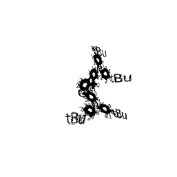 CC(C)(C)c1ccc(N(c2ccc(C(C)(C)C)cc2)c2ccc3c(c2)C(C)(C)c2c-3ccc3oc4cc(N(c5ccc(C(C)(C)C)cc5)c5ccc(C(C)(C)C)cc5)ccc4c23)cc1